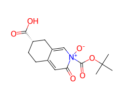 CC(C)(C)OC(=O)[N+]1([O-])C=C2C[C@@H](C(=O)O)CCC2=CC1=O